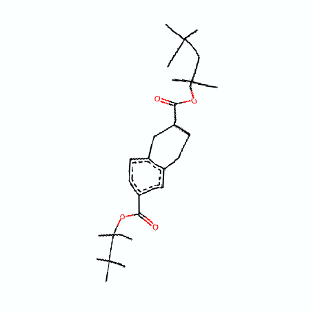 CC(C)(C)CC(C)(C)OC(=O)C1CCc2cc(C(=O)OC(C)(C)C(C)(C)C)ccc2C1